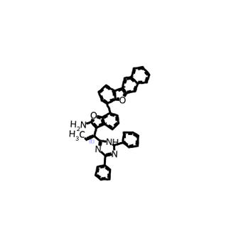 C/C=C(/C1=NC(c2ccccc2)=NC(c2ccccc2)N1)c1c(N)oc2c(-c3cccc4c3oc3cc5ccccc5cc34)cccc12